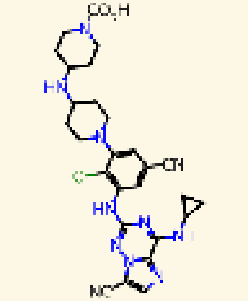 N#Cc1cc(Nc2nc(NC3CC3)c3ncc(C#N)n3n2)c(Cl)c(N2CCC(NC3CCN(C(=O)O)CC3)CC2)c1